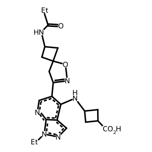 CCC(=O)NC1CC2(CC(c3cnc4c(cnn4CC)c3NC3CC(C(=O)O)C3)=NO2)C1